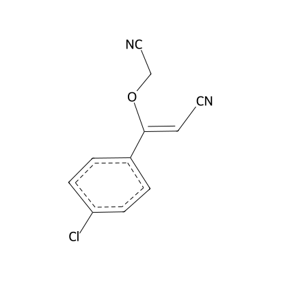 N#CC=C(OCC#N)c1ccc(Cl)cc1